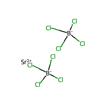 Cl[B-](Cl)(Cl)Cl.Cl[B-](Cl)(Cl)Cl.[Sr+2]